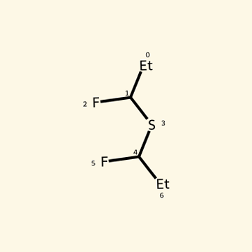 CCC(F)SC(F)CC